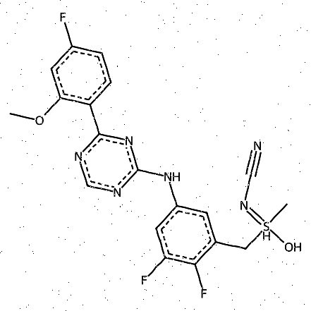 COc1cc(F)ccc1-c1ncnc(Nc2cc(F)c(F)c(C[SH](C)(O)=NC#N)c2)n1